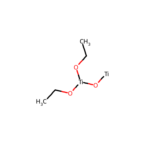 CC[O][Ti]([O][Ti])[O]CC